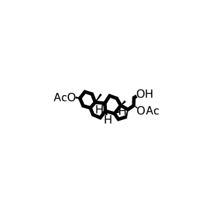 CC(=O)O[C@H]1CC[C@@]2(C)C(CC[C@H]3[C@@H]4CC[C@H]([C@H](CO)OC(C)=O)[C@@]4(C)CC[C@@H]32)C1